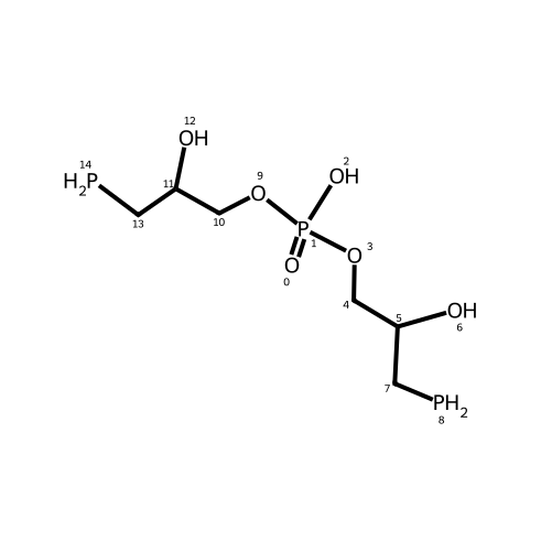 O=P(O)(OCC(O)CP)OCC(O)CP